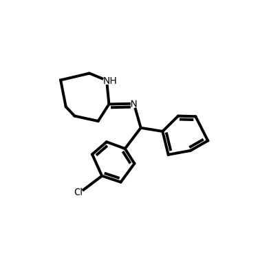 Clc1ccc(C(N=C2CCCCCN2)c2ccccc2)cc1